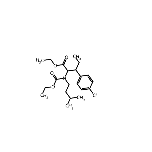 CCOC(=O)C(C(CC)c1ccc(Cl)cc1)N(CCC(C)C)C(=O)OCC